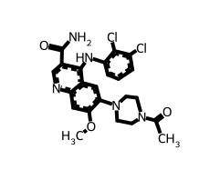 COc1cc2ncc(C(N)=O)c(Nc3cccc(Cl)c3Cl)c2cc1N1CCN(C(C)=O)CC1